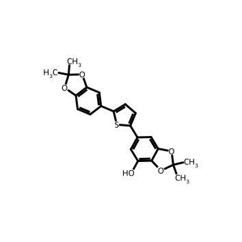 CC1(C)Oc2ccc(-c3ccc(-c4cc(O)c5c(c4)OC(C)(C)O5)s3)cc2O1